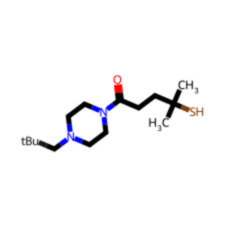 CC(C)(C)CN1CCN(C(=O)CCC(C)(C)S)CC1